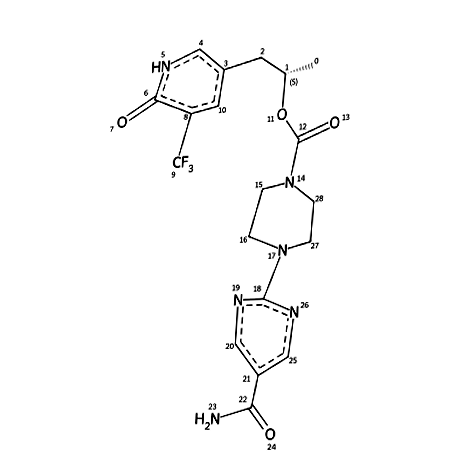 C[C@@H](Cc1c[nH]c(=O)c(C(F)(F)F)c1)OC(=O)N1CCN(c2ncc(C(N)=O)cn2)CC1